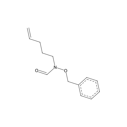 C=CCCCN(C=O)OCc1ccccc1